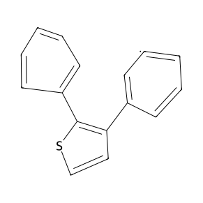 [c]1cccc(-c2ccsc2-c2ccccc2)c1